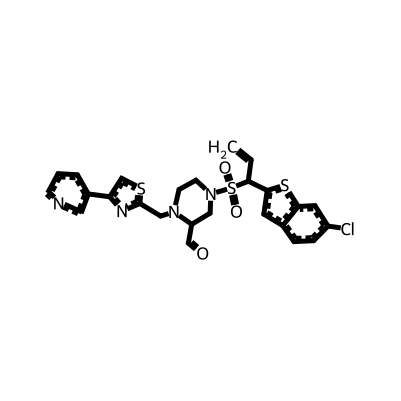 C=CC(c1cc2ccc(Cl)cc2s1)S(=O)(=O)N1CCN(Cc2nc(-c3cccnc3)cs2)C(C=O)C1